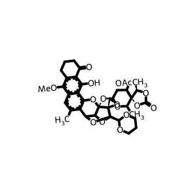 COc1c2c(c(O)c3c4c(c(C)cc13)C1OC3(C5OCCCO5)OC1[C@@](O[C@H]1CC(OC(C)=O)[C@]5(OC(=O)O[C@@H]5C)C(C)O1)(O4)[C@@]31CO1)C(=O)CCC2